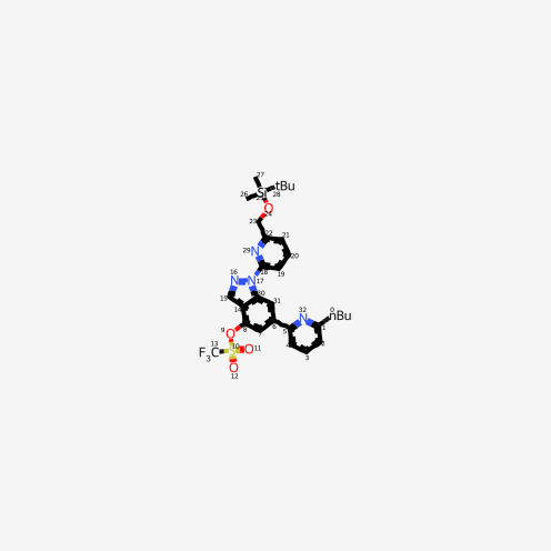 CCCCc1cccc(-c2cc(OS(=O)(=O)C(F)(F)F)c3cnn(-c4cccc(CO[Si](C)(C)C(C)(C)C)n4)c3c2)n1